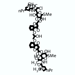 CCCC1CC(C(=O)NC(C(C)Cl)C2OC(SC)C(O)C(OC(=O)c3cc(=O)c4c(OCC(O)COc5cccc6oc(C(=O)OC7C(O)C(SC)OC(C(NC(=O)C8CC(CCC)CN8C)C(C)Cl)C7O)cc(=O)c56)cccc4o3)C2O)N(C)C1